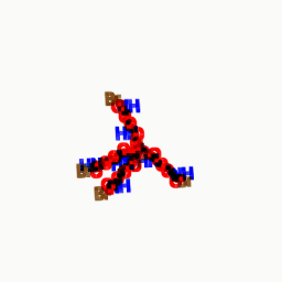 O=C(CBr)NCCOCCOCCNC(=O)CCOCC(COCCC(=O)NCCOCCOCCNC(=O)CBr)(COCCC(=O)NCCOCCOCCNC(=O)CBr)COCCC(=O)NCCOCCOCCNC(=O)CBr